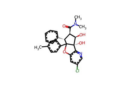 Cc1ccc(C23Oc4cc(Cl)cnc4[C@]2(O)[C@H](O)[C@H](C(=O)N(C)C)[C@H]3c2ccccc2)cc1